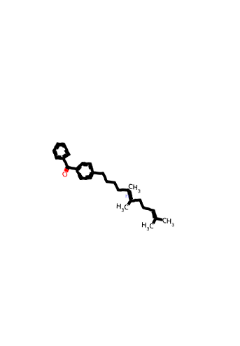 CC(C)=CCC/C(C)=C(\C)CCCCc1ccc(C(=O)c2ccccc2)cc1